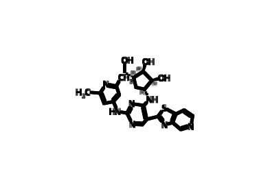 Cc1cc(Nc2ncc(-c3nc4cnccc4s3)c(N[C@@H]3C[C@H](CO)[C@@H](O)[C@H]3O)n2)cc(C)n1